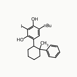 CCCCc1cc(C2CCCCC2(C)c2ccccc2)c(O)c(I)c1O